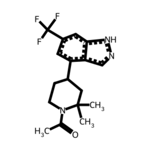 CC(=O)N1CCC(c2cc(C(F)(F)F)cc3[nH]ncc23)CC1(C)C